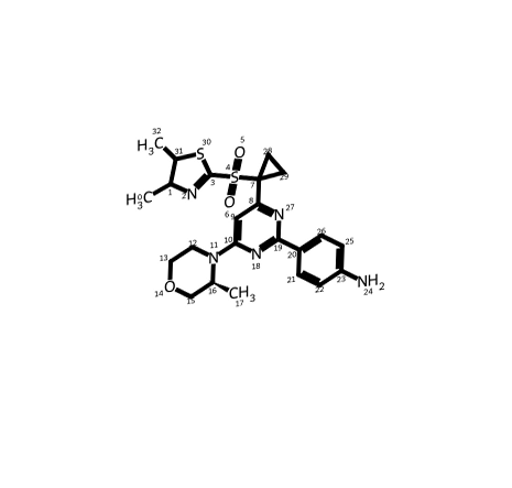 CC1N=C(S(=O)(=O)C2(c3cc(N4CCOC[C@@H]4C)nc(-c4ccc(N)cc4)n3)CC2)SC1C